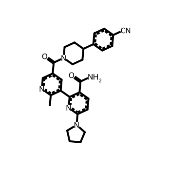 Cc1ncc(C(=O)N2CCC(c3ccc(C#N)cc3)CC2)cc1-c1nc(N2CCCC2)ccc1C(N)=O